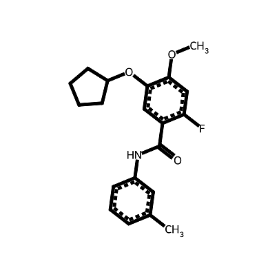 COc1cc(F)c(C(=O)Nc2cccc(C)c2)cc1OC1CCCC1